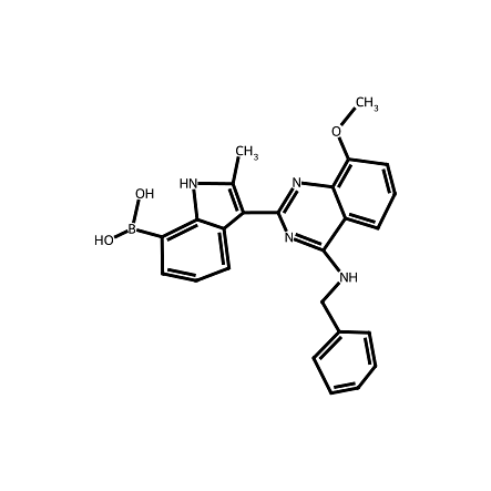 COc1cccc2c(NCc3ccccc3)nc(-c3c(C)[nH]c4c(B(O)O)cccc34)nc12